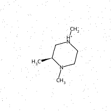 [CH2-][NH+]1CCN(C)[C@@H](C)C1